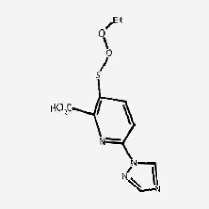 CCOOSc1ccc(-n2cncn2)nc1C(=O)O